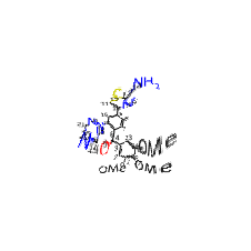 COc1cc(C(=O)c2ccc(-c3csc(N)n3)cc2-n2cncn2)cc(OC)c1OC